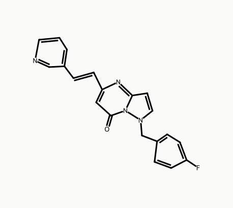 O=c1cc(/C=C/c2cccnc2)nc2ccn(Cc3ccc(F)cc3)n12